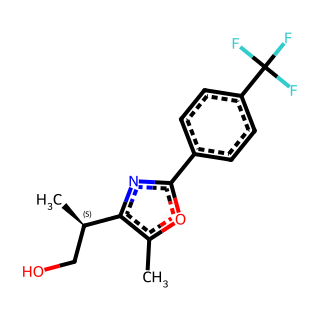 Cc1oc(-c2ccc(C(F)(F)F)cc2)nc1[C@H](C)CO